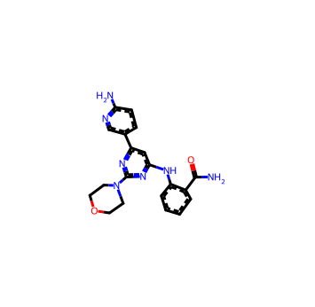 NC(=O)c1ccccc1Nc1cc(-c2ccc(N)nc2)nc(N2CCOCC2)n1